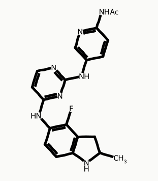 CC(=O)Nc1ccc(Nc2nccc(Nc3ccc4c(c3F)CC(C)N4)n2)cn1